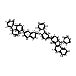 c1ccc(-n2c3ccc(-c4ccc5c(c4)c4ccccc4n5-c4ccc5ccc(-c6ccc7c8c(cccc68)-c6ccccc6-7)cc5c4)cc3c3ccc4ccccc4c32)cc1